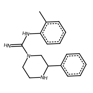 Cc1ccccc1NC(=N)N1CCNC(c2ccccc2)C1